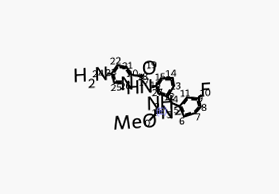 CO/C(N)=N/C(c1cccc(F)c1)c1cccc(NC(=O)c2ccc(N)cn2)c1